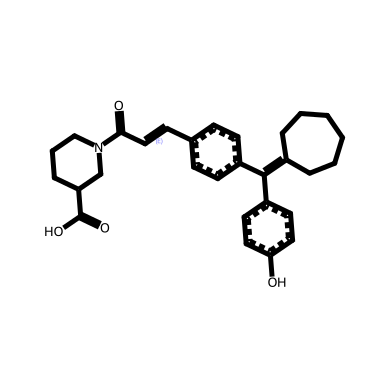 O=C(O)C1CCCN(C(=O)/C=C/c2ccc(C(=C3CCCCCC3)c3ccc(O)cc3)cc2)C1